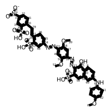 COc1ccc(Nc2ccc3c(O)c(N=Nc4cc(OC)c(N=Nc5ccc(C=Cc6ccc([N+](=O)[O-])cc6S(=O)(=O)O)c(S(=O)(=O)O)c5)cc4OC)c(S(=O)(=O)O)cc3c2)cc1